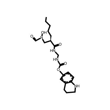 CCCCC[C@H](CN(O)C=O)C(=O)NCNC(=O)Oc1ccc2c(c1)CCCN2